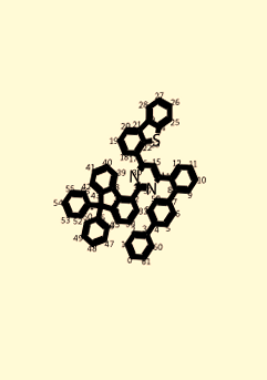 c1ccc(-c2ccc(-c3ccccc3-c3cc(-c4cccc5c4sc4ccccc45)nc(-c4cccc5c4-c4ccccc4C5(c4ccccc4)c4ccccc4)n3)cc2)cc1